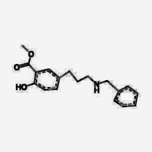 COC(=O)c1cc(CCCNCc2ccccc2)ccc1O